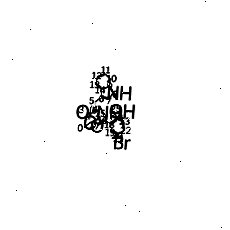 COC(=O)[C@H](Cc1c[nH]c2ccccc12)NC(=O)c1cc(Br)ccc1O